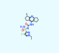 CCn1cc(F)c(S(N)(=O)=NC(=O)Nc2c3c(nc4c2CC[C@H]4C)CCC3)n1